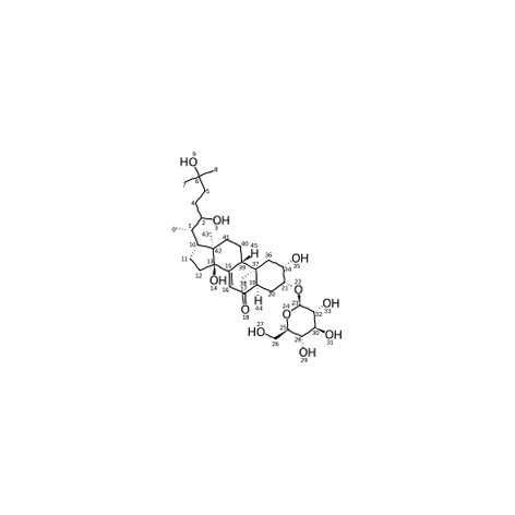 C[C@H](C(O)CCC(C)(C)O)[C@H]1CC[C@@]2(O)C3=CC(=O)[C@@H]4C[C@@H](O[C@@H]5O[C@H](CO)[C@@H](O)[C@H](O)[C@H]5O)[C@@H](O)C[C@]4(C)[C@H]3CC[C@]12C